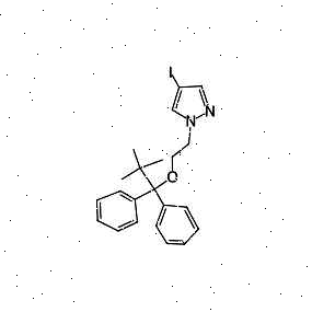 CC(C)(C)C(OCCn1cc(I)cn1)(c1ccccc1)c1ccccc1